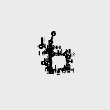 CC(CC(=O)O)C1NC(=O)[C@@H](CO)NC(=O)CNC(=O)[C@H](CC(=O)O)NC(=O)[C@@H](C)NC(=O)[C@H](CC(=O)O)NC(=O)[C@H](CCCN)NC(=O)CN(C)C(=O)[C@@H](NC(=O)[C@H](CC(=O)O)NC(=O)[C@@H](CC(N)=O)NC(=O)[C@H](Cc2c[nH]c3ccccc23)NC(=O)c2ccc(C#Cc3ccccc3)cc2)[C@@H](C)OC(=O)[C@H](CC(=O)c2ccccc2N)NC1=O